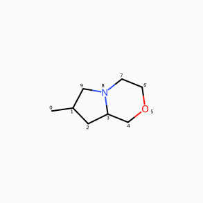 CC1CC2COCCN2C1